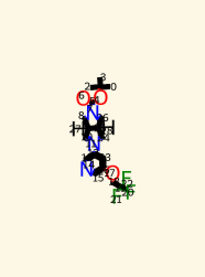 CC(C)(C)OC(=O)N1C[C@@H]2CN(c3cncc(OCC(F)(F)F)c3)C[C@@H]2C1